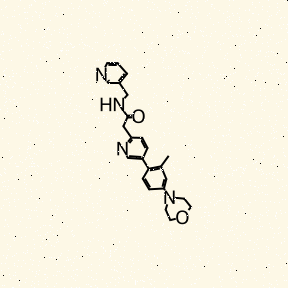 Cc1cc(N2CCOCC2)ccc1-c1ccc(CC(=O)NCc2cccnc2)nc1